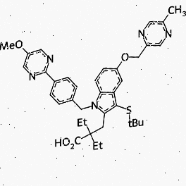 CCC(CC)(Cc1c(SC(C)(C)C)c2cc(OCc3cnc(C)cn3)ccc2n1Cc1ccc(-c2ncc(OC)cn2)cc1)C(=O)O